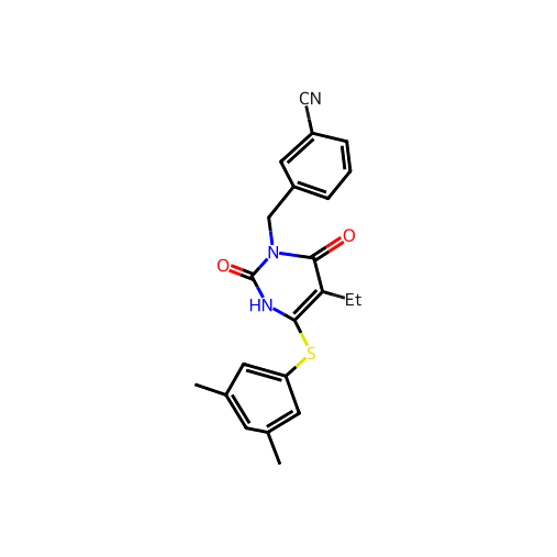 CCc1c(Sc2cc(C)cc(C)c2)[nH]c(=O)n(Cc2cccc(C#N)c2)c1=O